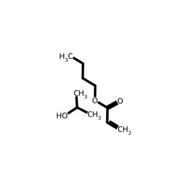 C=CC(=O)OCCCC.CC(C)O